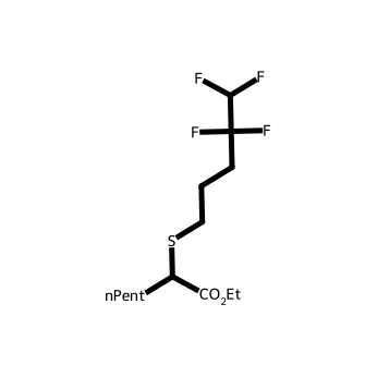 CCCCCC(SCCCC(F)(F)C(F)F)C(=O)OCC